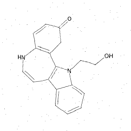 O=C1C=CC2=C(C1)c1c(c3ccccc3n1CCO)C=CN2